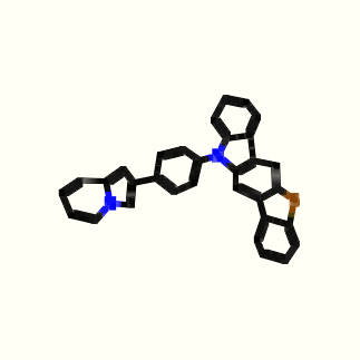 c1ccc2c(c1)sc1cc3c4ccccc4n(-c4ccc(-c5cc6ccccn6c5)cc4)c3cc12